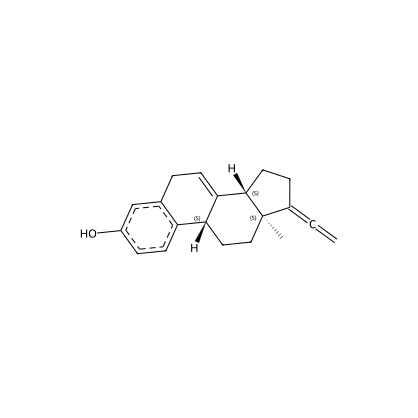 C=C=C1CC[C@H]2C3=CCc4cc(O)ccc4[C@H]3CC[C@]12C